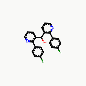 OC(c1cccnc1-c1ccc(Cl)cc1)c1cccnc1-c1ccc(Cl)cc1